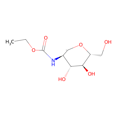 CCOC(=O)N[C@H]1[CH]O[C@H](CO)[C@@H](O)[C@@H]1O